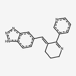 C(=C1CCCN=C1c1cccnc1)c1ccc2[nH]nnc2c1